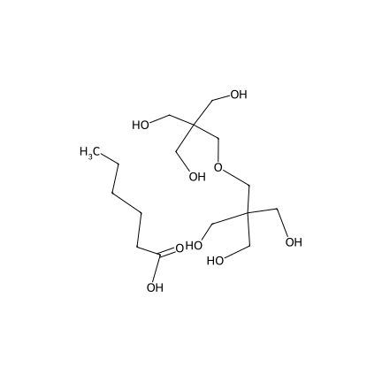 CCCCCC(=O)O.OCC(CO)(CO)COCC(CO)(CO)CO